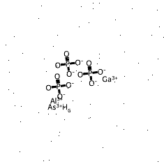 O=P([O-])([O-])[O-].O=P([O-])([O-])[O-].O=P([O-])([O-])[O-].[Al+3].[AsH6+3].[Ga+3]